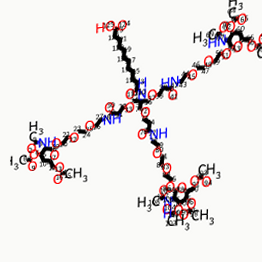 CC(=O)NC1C(OC(C)=O)CC(COC(C)=O)OC1OCCOCCOCCNC(=O)CCOCC(COCCC(=O)NCCOCCOCCOC1OC(COC(C)=O)CC(OC(C)=O)C1NC(C)=O)(COCCC(=O)NCCOCCOCCOC1OC(COC(C)=O)C(OC(C)=O)C(OC(C)=O)C1NC(C)=O)NC(=O)CCCCCCCCCCC(=O)O